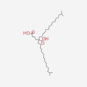 CC(C)CCCCCCCCCCCCCC(CCCCCCCCCCCCCC(C)C)(CCCC(=O)O)C(=O)O